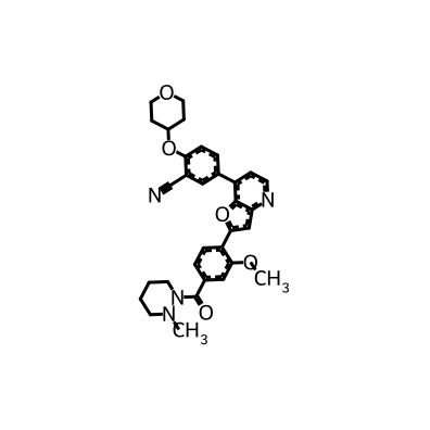 COc1cc(C(=O)N2CCCCN2C)ccc1-c1cc2nccc(-c3ccc(OC4CCOCC4)c(C#N)c3)c2o1